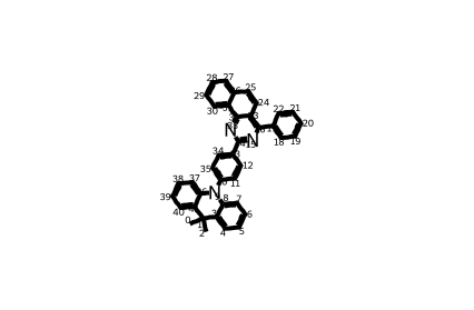 CC1(C)c2ccccc2N(c2ccc(-c3nc(-c4ccccc4)c4ccc5ccccc5c4n3)cc2)c2ccccc21